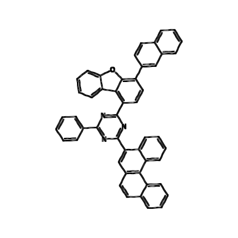 c1ccc(-c2nc(-c3cc4ccc5ccccc5c4c4ccccc34)nc(-c3ccc(-c4ccc5ccccc5c4)c4oc5ccccc5c34)n2)cc1